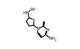 C=C1N=C(N)C=CN1C1CCC(NS)S1